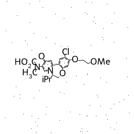 COCCCOc1cc2c(cc1Cl)-c1cc(=O)c(N(C)C(=O)O)cn1[C@H](C(C)C)CO2